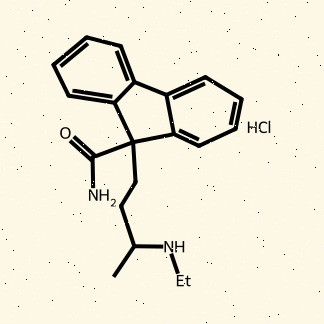 CCNC(C)CCC1(C(N)=O)c2ccccc2-c2ccccc21.Cl